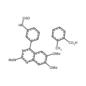 CNc1nc(-c2cccc(NC=O)c2)c2cc(OC)c(OC)cc2n1.Cc1ccccc1C(=O)O